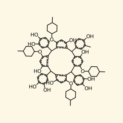 Cc1cc(C2c3cc(c(OC4CCC(C)CC4)cc3O)C(c3ccc(O)c(O)c3)c3cc(c(O)cc3OC3CCC(C)CC3)C(c3ccc(O)c(O)c3)c3cc(c(OC4CCC(C)CC4)cc3O)C(c3ccc(O)c(O)c3)c3cc2c(O)cc3OC2CCC(C)CC2)ccc1O